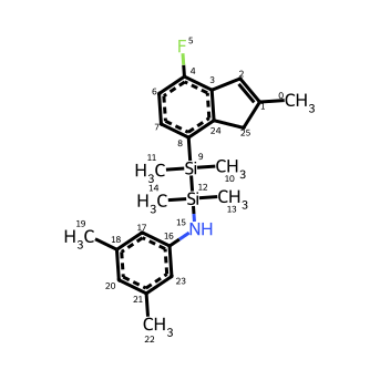 CC1=Cc2c(F)ccc([Si](C)(C)[Si](C)(C)Nc3cc(C)cc(C)c3)c2C1